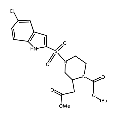 COC(=O)CC1CN(S(=O)(=O)c2cc3cc(Cl)ccc3[nH]2)CCN1C(=O)OC(C)(C)C